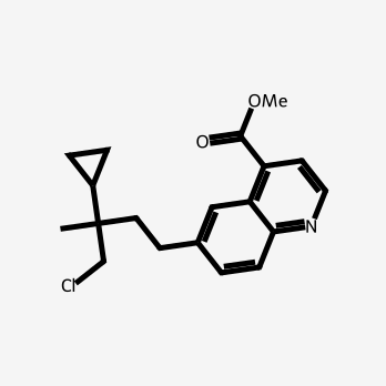 COC(=O)c1ccnc2ccc(CCC(C)(CCl)C3CC3)cc12